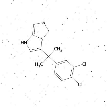 CC(C)(C1=CNC2=CSCN21)c1ccc(Cl)c(Cl)c1